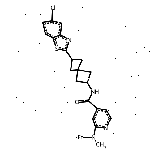 CCN(C)c1cc(C(=O)NC2CC3(C2)CC(c2nc4cc(Cl)ccc4s2)C3)ccn1